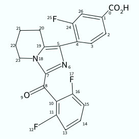 O=C(O)c1ccc(-c2nc(C(=O)c3c(F)cccc3F)n3c2CCCC3)c(F)c1